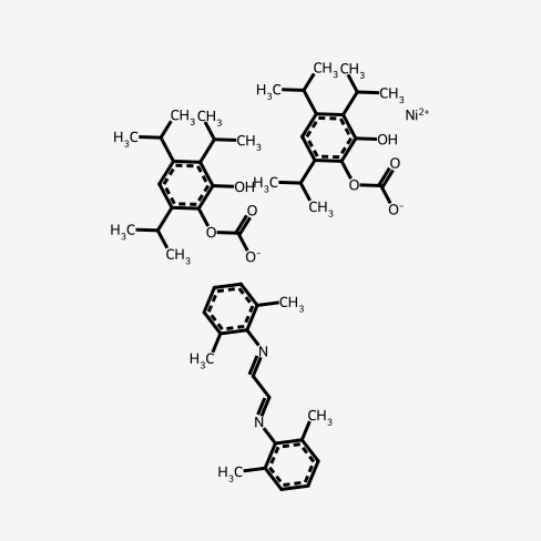 CC(C)c1cc(C(C)C)c(C(C)C)c(O)c1OC(=O)[O-].CC(C)c1cc(C(C)C)c(C(C)C)c(O)c1OC(=O)[O-].Cc1cccc(C)c1N=CC=Nc1c(C)cccc1C.[Ni+2]